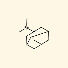 C[Si](C)C12CC3CC(CC(C3)C1)C2